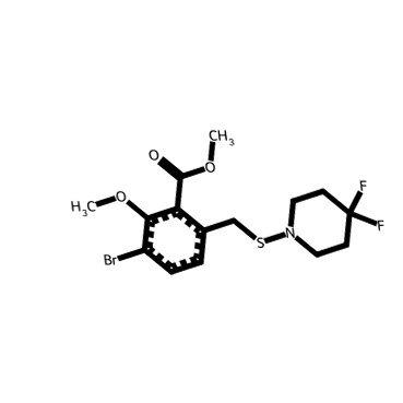 COC(=O)c1c(CSN2CCC(F)(F)CC2)ccc(Br)c1OC